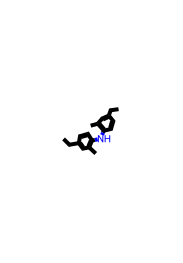 CCc1ccc(Nc2ccc(CC)cc2C)c(C)c1